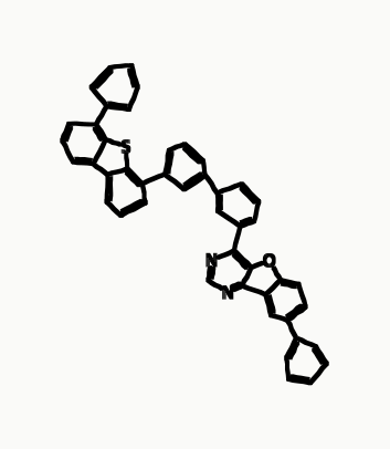 c1ccc(-c2ccc3oc4c(-c5cccc(-c6cccc(-c7cccc8c7sc7c(-c9ccccc9)cccc78)c6)c5)ncnc4c3c2)cc1